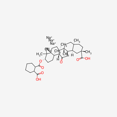 CC1(C)[C@@H](OC(=O)C2CCCCC2C(=O)O)CC[C@]2(C)[C@H]3C(=O)C=C4[C@@H]5C[C@@](C)(C(=O)O)CC[C@]5(C)CC[C@@]4(C)[C@]3(C)CC[C@@H]12.[Na+].[Na+].[Na+]